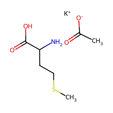 CC(=O)[O-].CSCCC(N)C(=O)O.[K+]